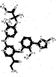 CCC(=O)c1cnc(Nc2ccc(OC(C)(C)C(=O)OC)c(C)n2)cc1Nc1cccc(-c2ncn(C)n2)c1OC